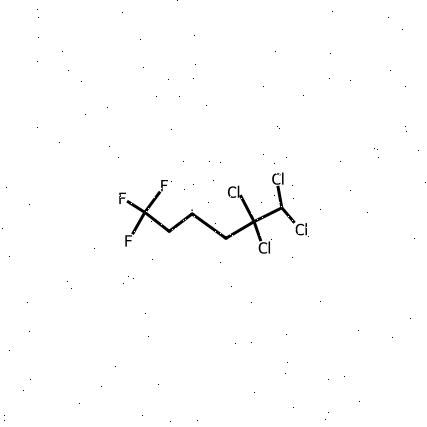 FC(F)(F)C[CH]CC(Cl)(Cl)C(Cl)Cl